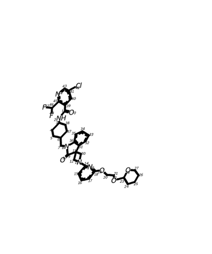 O=C(NC1CCC(CN2C(=O)C3(CN(c4cccc(OCCOC5CCCCO5)n4)C3)c3ccccc32)CC1)c1cc(Cl)cnc1C(F)F